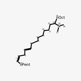 CCCCC/C=C\CC=CCCCCCCCC(CCCCCCCC)N(C)C